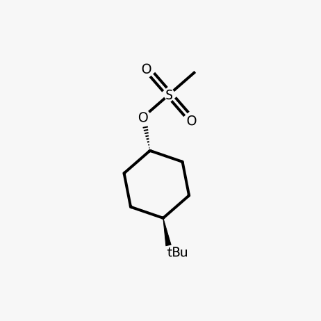 CC(C)(C)[C@H]1CC[C@H](OS(C)(=O)=O)CC1